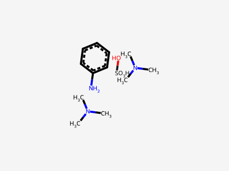 CN(C)C.CN(C)C.Nc1ccccc1.O=S(=O)(O)O